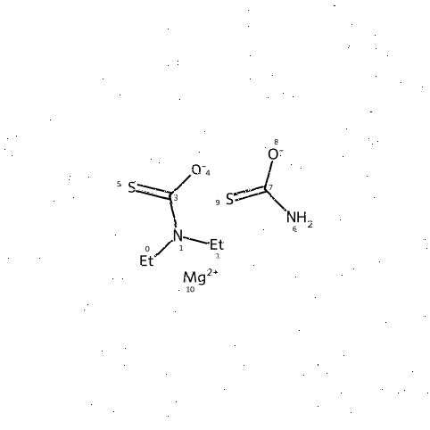 CCN(CC)C([O-])=S.NC([O-])=S.[Mg+2]